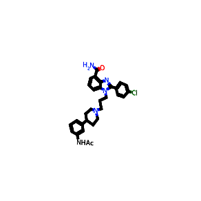 CC(=O)Nc1cccc(C2CCN(CCCn3c(-c4ccc(Cl)cc4)nc4c(C(N)=O)cccc43)CC2)c1